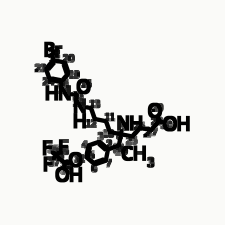 C[C@@H](c1ccccc1)C(N)(CCCCNC(=O)Nc1ccc(Br)cc1)CCCC(=O)O.O=C(O)C(F)(F)F